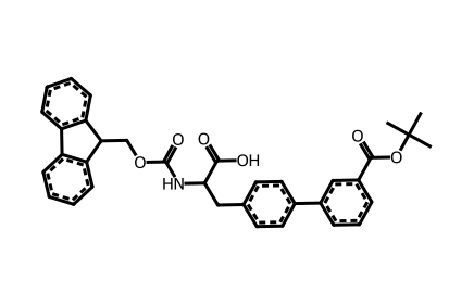 CC(C)(C)OC(=O)c1cccc(-c2ccc(CC(NC(=O)OCC3c4ccccc4-c4ccccc43)C(=O)O)cc2)c1